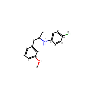 COc1cccc(CC(C)Nc2ccc(Cl)cc2)c1